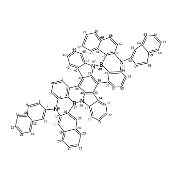 c1cc2c3c(c1)N(c1ccc4ccccc4c1)c1cc4ccccc4cc1B3n1c3ccccc3c3c4c5c(c-2c31)c1ccccc1n5B1c2c-4cccc2N(c2ccc3ccccc3c2)c2ccc3ccccc3c21